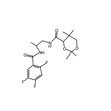 CC(CNC(=O)C1OC(C)(C)OCC1(C)C)NC(=O)c1cc(F)c(F)cc1F